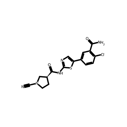 N#CN1CC[C@H](C(=O)Nc2ncc(-c3ccc(Cl)c(C(N)=O)c3)s2)C1